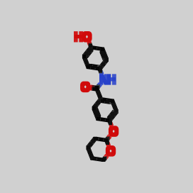 O=C(Nc1ccc(O)cc1)c1ccc(OC2CCCCO2)cc1